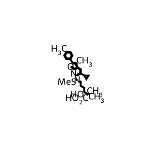 CSN(CCCC(O)C(C)(C)C(=O)O)c1nc2oc(-c3ccc(C)cc3)c(C)c2cc1C1CC1